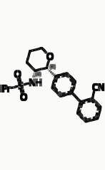 CC(C)S(=O)(=O)N[C@@H]1CCCO[C@@H]1c1ccc(-c2ccccc2C#N)cc1